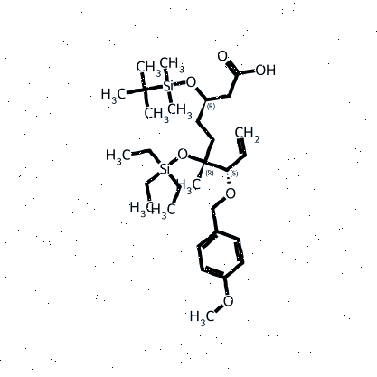 C=C[C@H](OCc1ccc(OC)cc1)[C@@](C)(CC[C@H](CC(=O)O)O[Si](C)(C)C(C)(C)C)O[Si](CC)(CC)CC